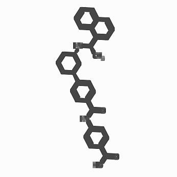 C[C@@H](N[C@H]1CCC[C@H](c2ccc(C(=O)Nc3ccc(C(=O)O)cc3)cc2)C1)c1cccc2ccccc12